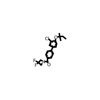 CCC(C)(C)Oc1ccc(-c2ccc(C(=O)N3CC(F)(F)C3)cc2)cc1Cl